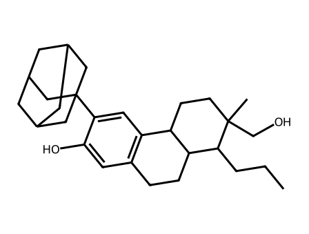 CCCC1C2CCc3cc(O)c(C45CC6CC(CC(C6)C4)C5)cc3C2CCC1(C)CO